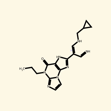 CCCn1c(=O)c2[nH]c(/C(C=N)=C/NCC3CC3)nc2n2ccnc12